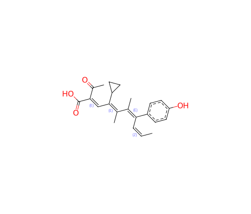 C\C=C/C(=C(C)\C(C)=C(\C=C(/C(C)=O)C(=O)O)C1CC1)c1ccc(O)cc1